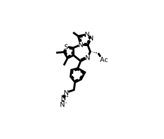 CC(=O)C[C@@H]1N=C(c2ccc(CN=[N+]=[N-])cc2)c2c(sc(C)c2C)-n2c(C)nnc21